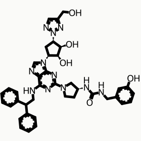 O=C(NCc1cccc(O)c1)N[C@@H]1CCN(c2nc(NCC(c3ccccc3)c3ccccc3)c3ncn([C@@H]4C[C@H](n5ncc(CO)n5)[C@@H](O)[C@H]4O)c3n2)C1